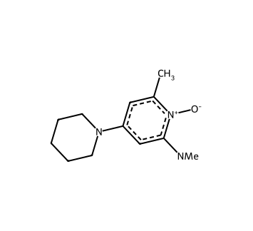 CNc1cc(N2CCCCC2)cc(C)[n+]1[O-]